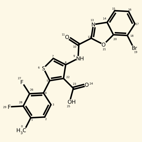 Cc1ccc(-c2scc(NC(=O)c3nc4cccc(Br)c4o3)c2C(=O)O)c(F)c1F